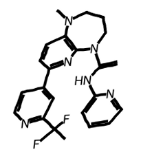 C=C(Nc1ccccn1)N1CCCN(C)c2ccc(-c3ccnc(C(C)(F)F)c3)nc21